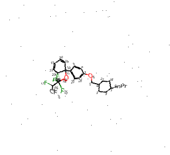 CCCC1CCC(COc2ccc(C3(OC(F)(F)C(F)C(F)(F)F)C=CC=CC3F)cc2)CC1